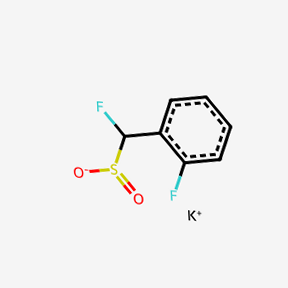 O=S([O-])C(F)c1ccccc1F.[K+]